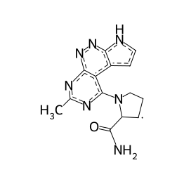 Cc1nc(N2CC[CH]C2C(N)=O)c2c(nnc3[nH]ccc32)n1